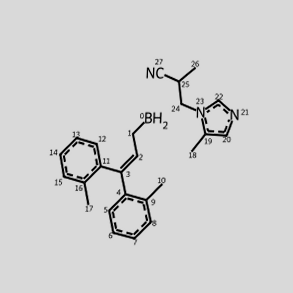 BCC=C(c1ccccc1C)c1ccccc1C.Cc1cncn1CC(C)C#N